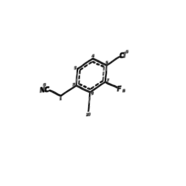 N#CCc1ccc(Cl)c(F)c1I